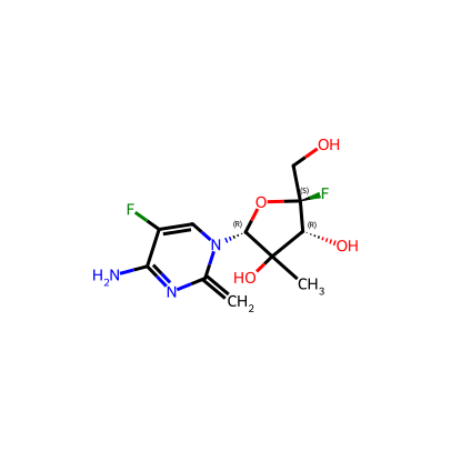 C=C1N=C(N)C(F)=CN1[C@@H]1O[C@](F)(CO)[C@H](O)C1(C)O